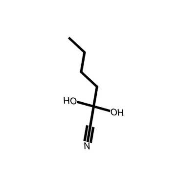 CCCCC(O)(O)C#N